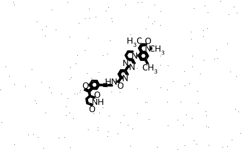 CCc1cc(N2CCCc3nc(-c4ccc(C(=O)NCC#Cc5ccc6occ(C7CCC(=O)NC7=O)c6c5)nc4)ncc32)c2cc(C)c(=O)n(C)c2c1